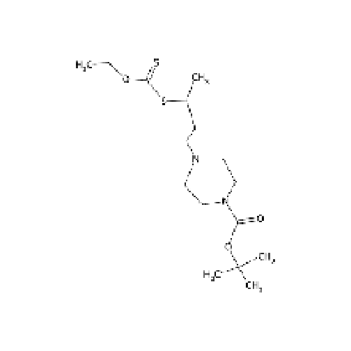 CCOC(=S)SC(C)CCN1CCN(C(=O)OC(C)(C)C)CC1